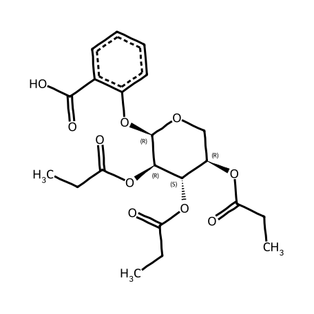 CCC(=O)O[C@@H]1[C@@H](OC(=O)CC)[C@@H](Oc2ccccc2C(=O)O)OC[C@H]1OC(=O)CC